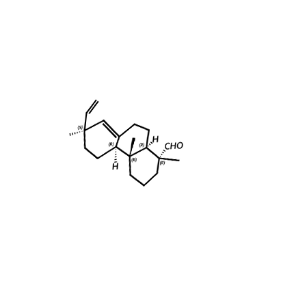 C=C[C@@]1(C)C=C2CC[C@@H]3[C@](C)(CCC[C@@]3(C)C=O)[C@H]2CC1